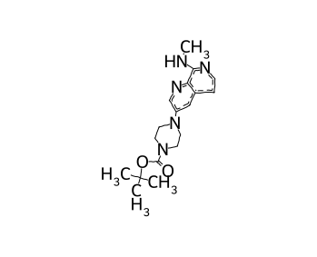 CNc1nccc2cc(N3CCN(C(=O)OC(C)(C)C)CC3)cnc12